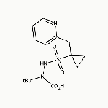 CC(C)(C)N(NS(=O)(=O)C1(Cc2ccccn2)CC1)C(=O)O